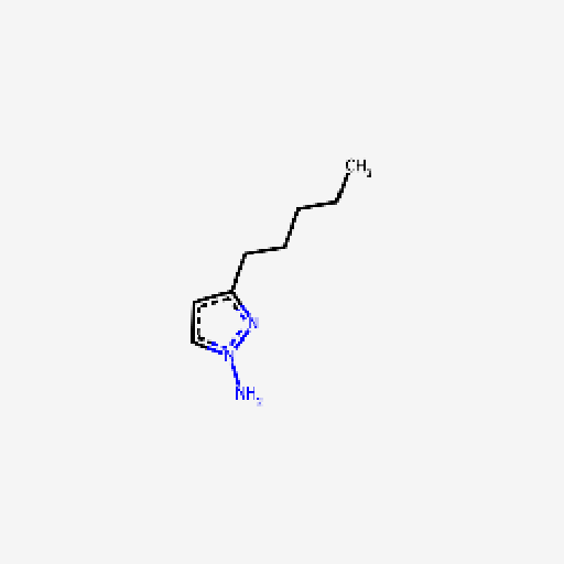 CCCCCc1ccn(N)n1